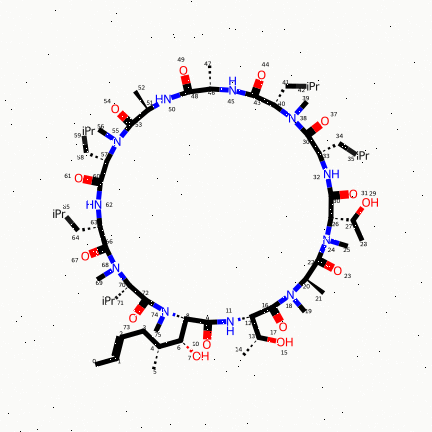 C/C=C/C[C@@H](C)[C@@H](O)[C@H]1C(=O)N[C@@H]([C@@H](C)O)C(=O)N(C)[C@H](C)C(=O)N(C)[C@@H](C(C)O)C(=O)N[C@@H](CC(C)C)C(=O)N(C)[C@@H](CC(C)C)C(=O)N[C@@H](C)C(=O)N[C@H](C)C(=O)N(C)[C@@H](CC(C)C)C(=O)N[C@@H](CC(C)C)C(=O)N(C)[C@@H](C(C)C)C(=O)N1C